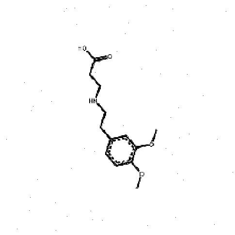 COc1ccc(CCNCCC(=O)O)cc1OC